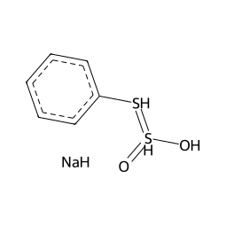 O=[SH](O)=[SH]c1ccccc1.[NaH]